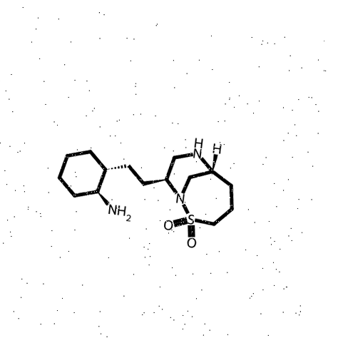 N[C@H]1CCCC[C@@H]1CC[C@H]1CN[C@@H]2CCCS(=O)(=O)N1C2